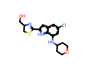 OCC1CSC(c2cc3cc(Cl)cc(NC4CCOCC4)c3[nH]2)=N1